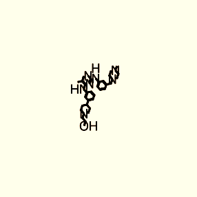 Cc1cnc(Nc2cccc(CN3CCN(C)CC3)c2)nc1Nc1cccc(C2CCN(CCO)CC2)c1